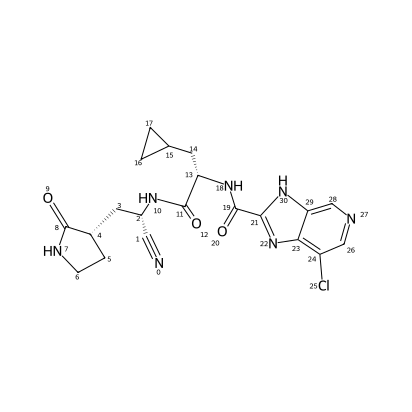 N#C[C@H](C[C@@H]1CCNC1=O)NC(=O)[C@H](CC1CC1)NC(=O)c1nc2c(Cl)cncc2[nH]1